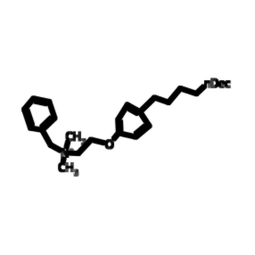 CCCCCCCCCCCCCCc1ccc(OCC[N+](C)(C)Cc2ccccc2)cc1